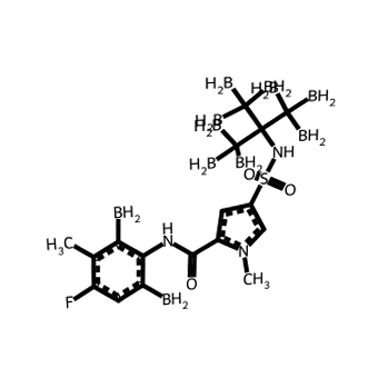 Bc1cc(F)c(C)c(B)c1NC(=O)c1cc(S(=O)(=O)NC(C(B)(B)B)(C(B)(B)B)C(B)(B)B)cn1C